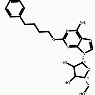 Nc1nc(OCCCCc2ccccc2)nc2c1ncn2[C@@H]1O[C@H](CO)C(O)C1O